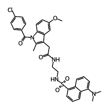 COc1ccc2c(c1)c(CC(=O)NCCNS(=O)(=O)c1cccc3c(N(C)C)cccc13)c(C)n2C(=O)c1ccc(Cl)cc1